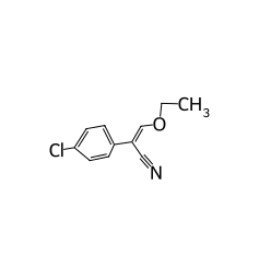 CCOC=C(C#N)c1ccc(Cl)cc1